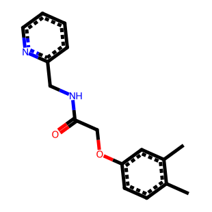 Cc1ccc(OCC(=O)NCc2ccccn2)cc1C